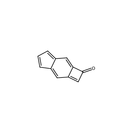 O=c1cc2cc3cccc3cc12